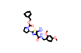 COc1ccc(CNC(=O)c2nc([C@H]3CCCN3C(=O)OCc3ccccc3)sc2N)c(OC)c1